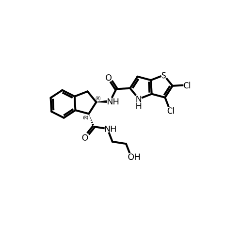 O=C(N[C@@H]1Cc2ccccc2[C@H]1C(=O)NCCO)c1cc2sc(Cl)c(Cl)c2[nH]1